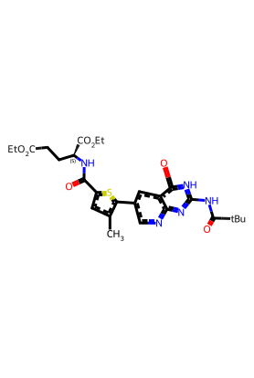 CCOC(=O)CC[C@H](NC(=O)c1cc(C)c(-c2cnc3nc(NC(=O)C(C)(C)C)[nH]c(=O)c3c2)s1)C(=O)OCC